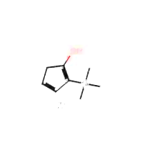 C[Si](C)(C)C1=C(O)CC=C1.[Zr]